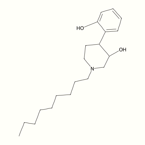 CCCCCCCCCN1CCC(c2ccccc2O)C(O)C1